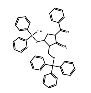 C=C1C(C(=O)c2ccccc2)CC(O[Si](c2ccccc2)(c2ccccc2)C(C)(C)C)C1COC(c1ccccc1)(c1ccccc1)c1ccccc1